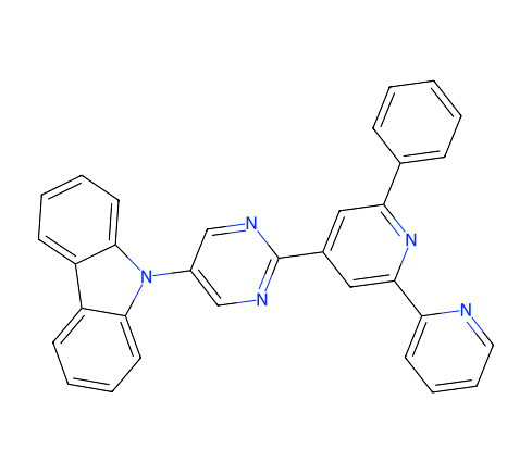 c1ccc(-c2cc(-c3ncc(-n4c5ccccc5c5ccccc54)cn3)cc(-c3ccccn3)n2)cc1